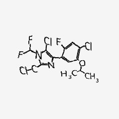 CC(C)Oc1cc(-c2nc(CCl)n(C(F)F)c2Cl)c(F)cc1Cl